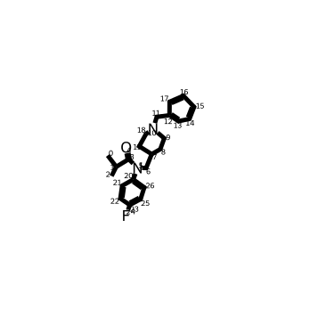 CC(C)C(=O)N(CC1CCN(Cc2ccccc2)CC1)c1ccc(F)cc1